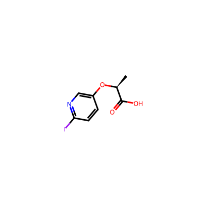 C[C@H](Oc1ccc(I)nc1)C(=O)O